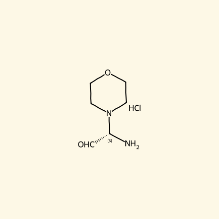 Cl.N[C@H](C=O)N1CCOCC1